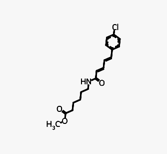 COC(=O)CCCCCNC(=O)C=CC=Cc1ccc(Cl)cc1